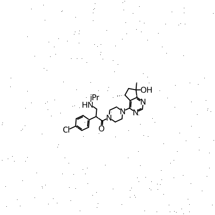 CC(C)NCC(C(=O)N1CCN(c2ncnc3c2[C@H](C)CC3(C)O)CC1)c1ccc(Cl)cc1